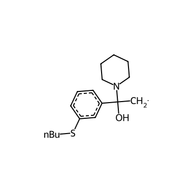 [CH2]C(O)(c1cccc(SCCCC)c1)N1CCCCC1